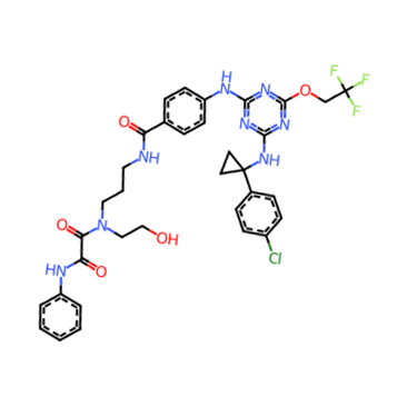 O=C(Nc1ccccc1)C(=O)N(CCO)CCCNC(=O)c1ccc(Nc2nc(NC3(c4ccc(Cl)cc4)CC3)nc(OCC(F)(F)F)n2)cc1